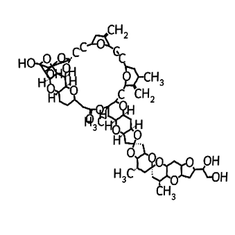 C=C1CC2CC[C@@]34O[C@@H]5C6[C@@H](O[C@H]7CCC(CC(=O)O[C@H]8C(CC9OC(CCC1O2)C[C@@H](C)C9=C)O[C@H]1C[C@H]2O[C@]9(CC%10O[C@]%11(C[C@H](C)C%12OC%13CC([C@@H](O)CO)OC%13CC%12O%11)C[C@H](C)C%10O9)C[C@H]2O[C@H]1[C@@H]8C)O[C@@H]75)C1C(O)(OC61O3)C4O